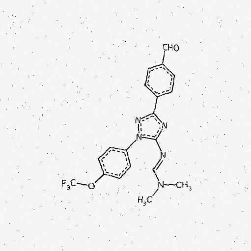 CN(C)C=Nc1nc(-c2ccc(C=O)cc2)nn1-c1ccc(OC(F)(F)F)cc1